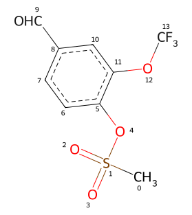 CS(=O)(=O)Oc1ccc(C=O)cc1OC(F)(F)F